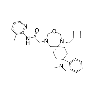 Cc1cccnc1NC(=O)CN1COCN(CC2CCC2)[C@]2(CC[C@@](c3ccccc3)(N(C)C)CC2)C1